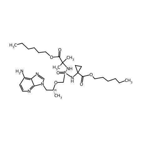 CCCCCCOC(=O)C(C)(C)NP(=O)(CO[C@H](C)Cn1cnc2c(N)ccnc21)NC1(C(=O)OCCCCCC)CC1